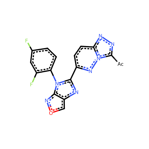 CC(=O)c1nnc2ccc(-c3nc4conc4n3-c3ccc(F)cc3F)nn12